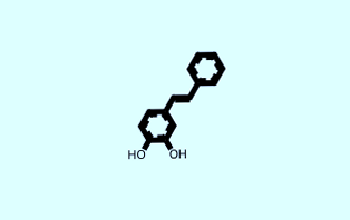 Oc1ccc(/C=C/c2ccccc2)cc1O